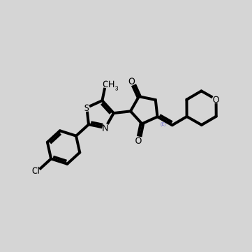 Cc1sc(C2C=CC(Cl)=CC2)nc1C1C(=O)C/C(=C\C2CCOCC2)C1=O